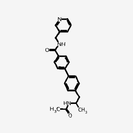 CC(=O)NC(C)Cc1ccc(-c2ccc(C(=O)NCc3cccnc3)cc2)cc1